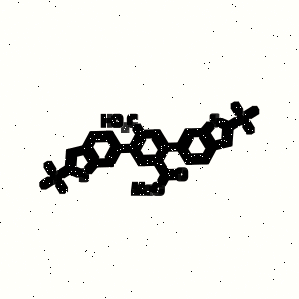 COC(=O)c1cc(-c2ccc3cc([Si](C)(C)C)sc3c2)c(C(=O)O)cc1-c1ccc2cc([Si](C)(C)C)sc2c1